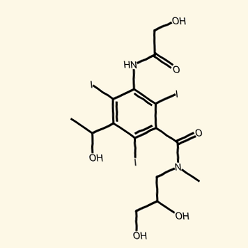 CC(O)c1c(I)c(NC(=O)CO)c(I)c(C(=O)N(C)CC(O)CO)c1I